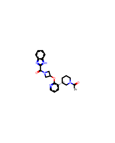 CC(C)C(=O)N1CCC[C@@H](c2cccnc2OC2CN(C(=O)c3nc4ccccc4[nH]3)C2)C1